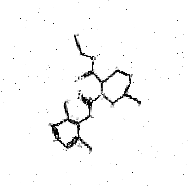 CCOC(=O)C1CCC(C)CN1C(=O)Cc1c(C)cccc1C